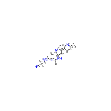 C=C/C(=C\C=N/CC(C)(C)C#N)C(=C)Nc1cnc(C)c(-c2ccc(CC)nc2)c1